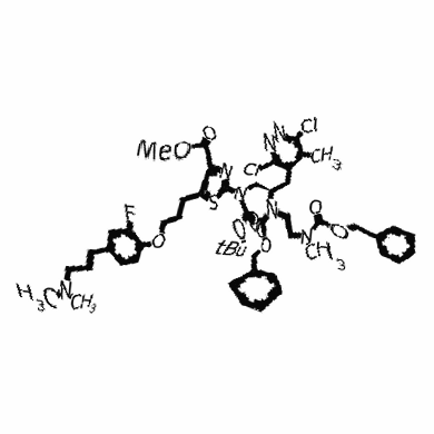 COC(=O)c1nc(N(C[C@@H](Cc2c(Cl)nnc(Cl)c2C)N(CCN(C)C(=O)OCc2ccccc2)C(=O)OCc2ccccc2)C(=O)OC(C)(C)C)sc1CCCOc1ccc(CCCN(C)C)cc1F